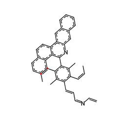 C=C/N=C\C=C\c1c(C)c(/C=C\C)c(-c2nc3cc4ccccc4cc3c3ccc4ccccc4c23)c(C)c1/C=C\C